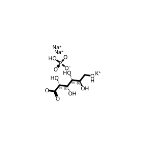 O=C([O-])[C@H](O)[C@@H](O)[C@H](O)[C@H](O)CO.O=P([O-])([O-])O.[K+].[Na+].[Na+]